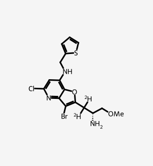 [2H]C([2H])(c1oc2c(NCc3cccs3)cc(Cl)nc2c1Br)[C@@H](N)COC